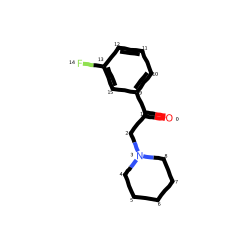 O=C(CN1CCCCC1)c1cccc(F)c1